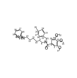 COc1cc(C(=O)N(CCCCCCNc2ccccn2)Cc2ccc(C)cc2)cc(OC)c1OC